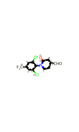 O=Cc1ccn(-c2c(Cl)cc(C(F)(F)F)cc2Cl)c(=O)c1